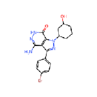 Nc1n[nH]c(=O)c2c1c(-c1ccc(Br)cc1)nn2C1CCCC(O)C1